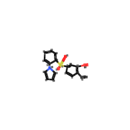 COc1ccc(S(=O)(=O)c2ccccc2-n2cccc2)cc1O